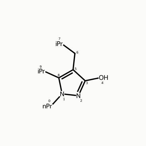 CCCn1nc(O)c(CC(C)C)c1C(C)C